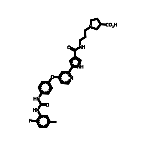 Cc1ccc(F)c(NC(=O)Nc2ccc(Oc3ccnc(-c4cc(C(=O)NCCCN5CCC(C(=O)O)C5)c[nH]4)c3)cc2)c1